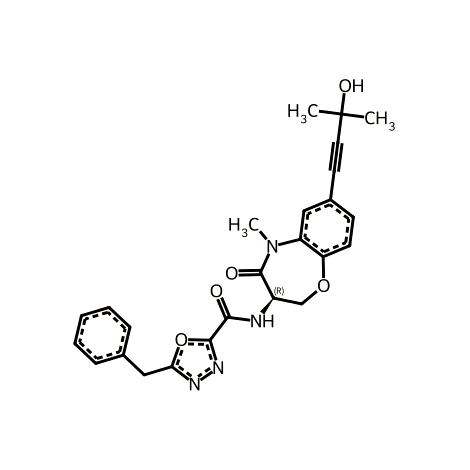 CN1C(=O)[C@H](NC(=O)c2nnc(Cc3ccccc3)o2)COc2ccc(C#CC(C)(C)O)cc21